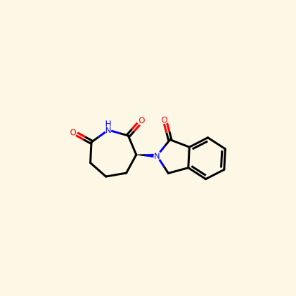 O=C1CCC[C@H](N2Cc3ccccc3C2=O)C(=O)N1